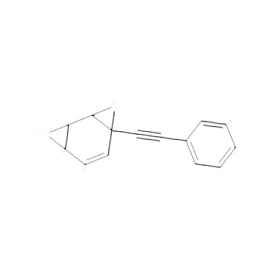 C(#CC12C=CC3SC3C1S2)c1ccccc1